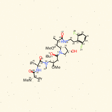 CC[C@H](C)[C@@H]([C@@H](CC(=O)N1C[C@@H](O)C[C@H]1[C@H](OC)[C@@H](C)C(=O)NCCc1c(F)cccc1F)OC)N(C)C(=O)[C@@H](NC(=O)[C@@H](NC)C(C)C)C(C)C